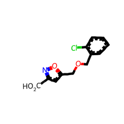 O=C(O)c1cc(COCc2ccccc2Cl)on1